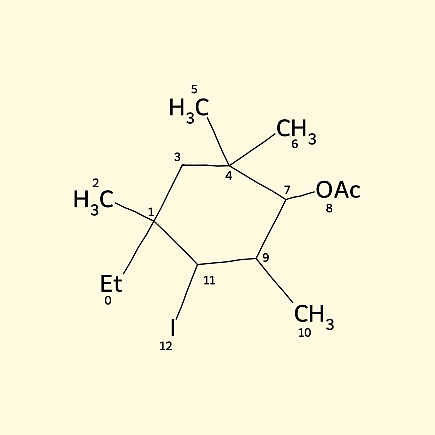 CCC1(C)CC(C)(C)C(OC(C)=O)C(C)C1I